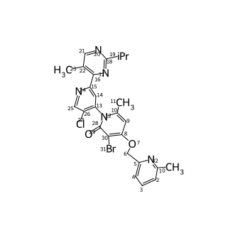 Cc1cccc(COc2cc(C)n(-c3cc(-c4nc(C(C)C)ncc4C)ncc3Cl)c(=O)c2Br)n1